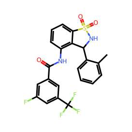 Cc1ccccc1C1NS(=O)(=O)c2cccc(NC(=O)c3cc(F)cc(C(F)(F)F)c3)c21